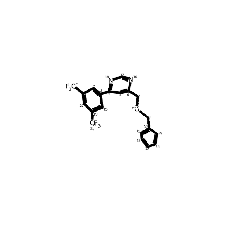 FC(F)(F)c1cc(-c2cc(COCc3ccccc3)ncn2)cc(C(F)(F)F)c1